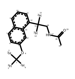 [2H]C([2H])([2H])Oc1ccc2cccc(C([2H])([2H])CNC(C)=O)c2c1